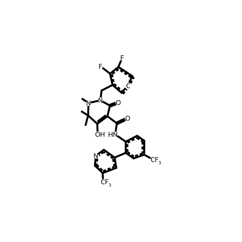 CN1N(Cc2cccc(F)c2F)C(=O)C(C(=O)Nc2ccc(C(F)(F)F)cc2-c2cncc(C(F)(F)F)c2)=C(O)C1(C)C